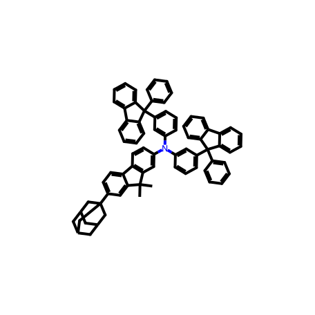 CC1(C)c2cc(N(c3cccc(C4(c5ccccc5)c5ccccc5-c5ccccc54)c3)c3cccc(C4(c5ccccc5)c5ccccc5-c5ccccc54)c3)ccc2-c2ccc(C34CC5CC(CC(C5)C3)C4)cc21